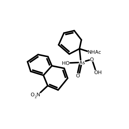 CC(=O)NC1([As](=O)(O)OO)C=CC=CC1.O=[N+]([O-])c1cccc2ccccc12